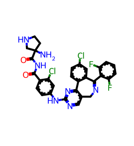 NC1(C(=O)NC(=O)c2ccc(Nc3ncc4c(n3)-c3ccc(Cl)cc3C(c3c(F)cccc3F)=NC4)cc2Cl)CCNC1